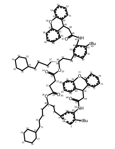 CC(C)(C)c1ccc(CC[C@@H](CCCCC2CCCCC2)OC(=O)CCC(=O)O[C@H](CCCCC2CCCCC2)CCc2ccc(C(C)(C)C)c(NC(=O)CC3c4ccccc4Oc4ccccc43)c2)cc1NC(=O)CC1c2ccccc2Oc2ccccc21